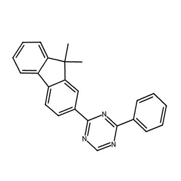 CC1(C)c2ccccc2-c2ccc(-c3ncnc(-c4ccccc4)n3)cc21